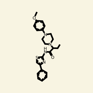 CCC(C(=O)Nc1nc(-c2ccccc2)cs1)N1CCN(c2ccc(OC)cc2)CC1